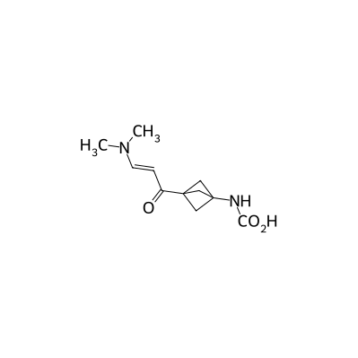 CN(C)C=CC(=O)C12CC(NC(=O)O)(C1)C2